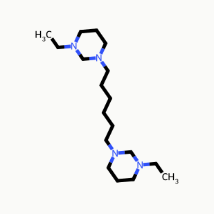 CCN1CCCN(CCCCCCN2CCCN(CC)C2)C1